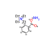 CC[N+](CC)(CC)CC.NOC(=O)c1ccccc1